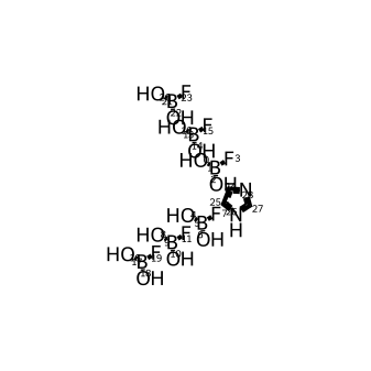 OB(O)F.OB(O)F.OB(O)F.OB(O)F.OB(O)F.OB(O)F.c1c[nH]cn1